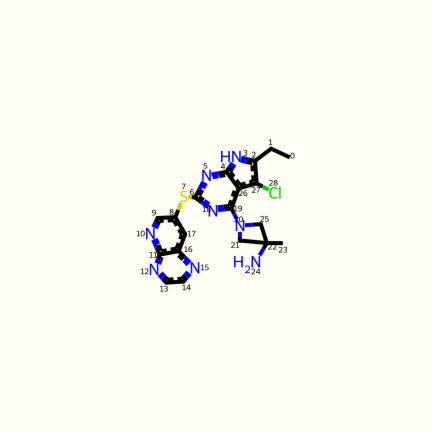 CCc1[nH]c2nc(Sc3cnc4nccnc4c3)nc(N3CC(C)(N)C3)c2c1Cl